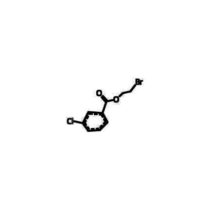 O=C(OCCBr)c1cccc(Cl)c1